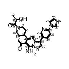 CC(=O)c1c(C2CCN(C(=O)[C@@H](C)O)CC2)nc2c(-c3ccc(-n4ccnc4)nc3)cnn2c1N